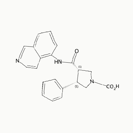 O=C(Nc1cccc2cnccc12)[C@@H]1CN(C(=O)O)C[C@@H]1c1ccccc1